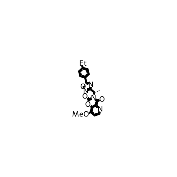 CCc1ccc(-c2nc([C@H](C)n3c(=O)oc4c(OC)ccnc4c3=O)no2)cc1